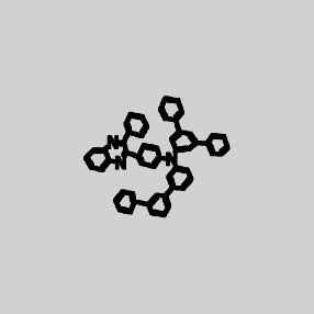 c1ccc(-c2cccc(-c3cccc(N(c4ccc(-c5nc6ccccc6nc5-c5ccccc5)cc4)c4cc(-c5ccccc5)cc(-c5ccccc5)c4)c3)c2)cc1